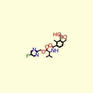 Cc1c(C(=O)N[C@H](C(=O)OCc2ncc(F)cn2)C(C)C)ccc2c1B(O)OC2